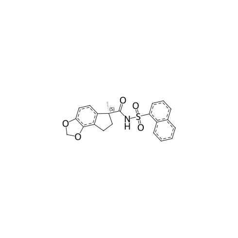 C[C@]1(C(=O)NS(=O)(=O)c2cccc3ccccc23)CCc2c1ccc1c2OCO1